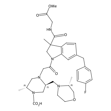 COC(=O)CNC(=O)C1(C)CN(C(=O)CN2C[C@@H](C)N(C(=O)O)C[C@@H]2CN2CCOC[C@H]2C)c2cc(Cc3ccc(F)cc3)ccc21